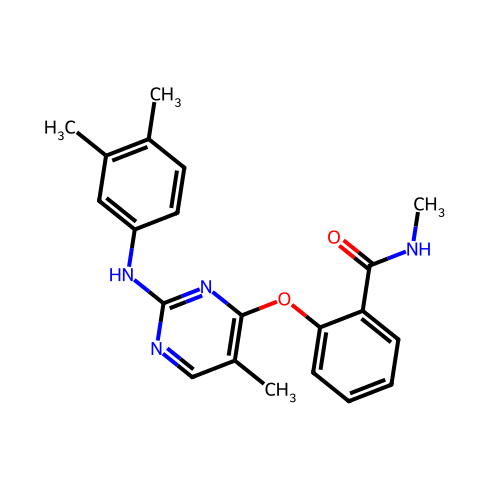 CNC(=O)c1ccccc1Oc1nc(Nc2ccc(C)c(C)c2)ncc1C